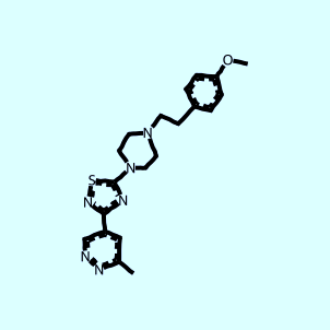 COc1ccc(CCN2CCN(c3nc(-c4cnnc(C)c4)ns3)CC2)cc1